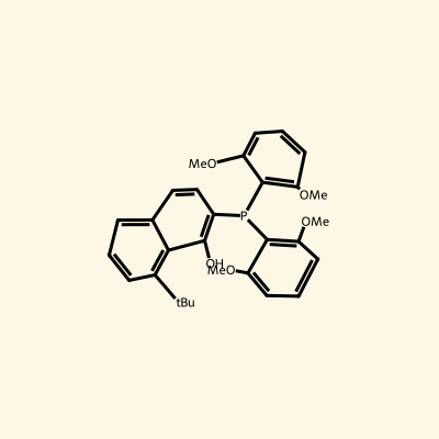 COc1cccc(OC)c1P(c1ccc2cccc(C(C)(C)C)c2c1O)c1c(OC)cccc1OC